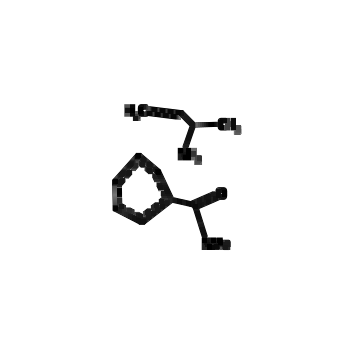 C=CC(C)N.CNC(=O)c1ccccc1